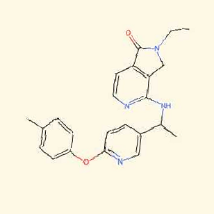 CCN1Cc2c(ccnc2NC(C)c2ccc(Oc3ccc(C)cc3)nc2)C1=O